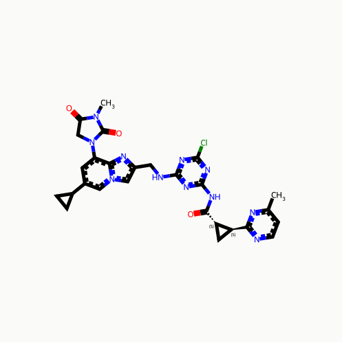 Cc1ccnc([C@H]2C[C@@H]2C(=O)Nc2nc(Cl)nc(NCc3cn4cc(C5CC5)cc(N5CC(=O)N(C)C5=O)c4n3)n2)n1